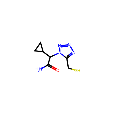 NC(=O)C(C1CC1)n1nnnc1CS